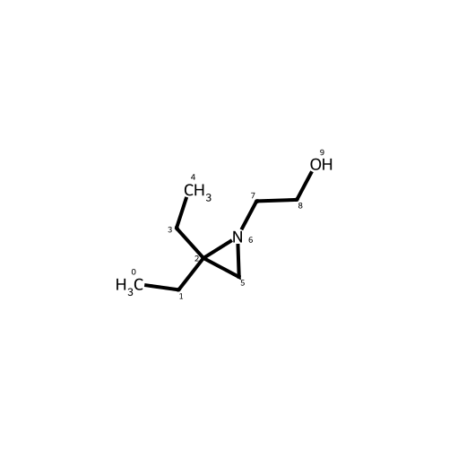 CCC1(CC)CN1CCO